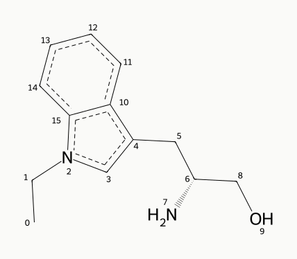 CCn1cc(C[C@@H](N)CO)c2ccccc21